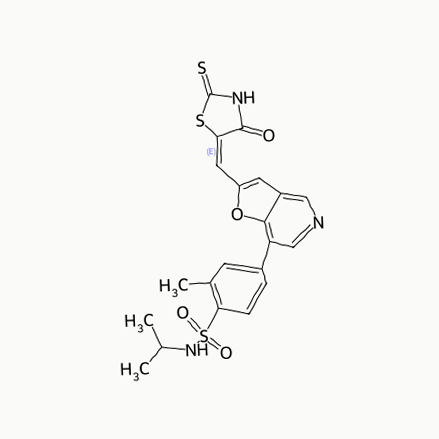 Cc1cc(-c2cncc3cc(/C=C4/SC(=S)NC4=O)oc23)ccc1S(=O)(=O)NC(C)C